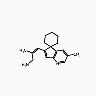 C/C(=C/C1=Cc2ncc(C)cc2C12CCCCC2)CN